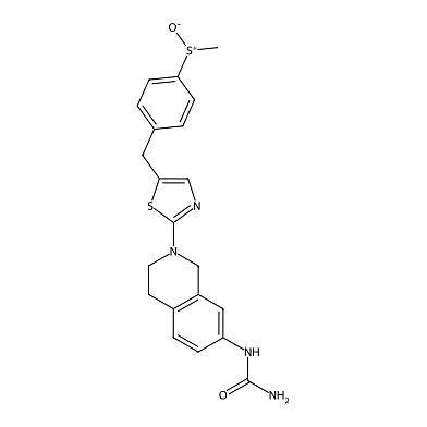 C[S+]([O-])c1ccc(Cc2cnc(N3CCc4ccc(NC(N)=O)cc4C3)s2)cc1